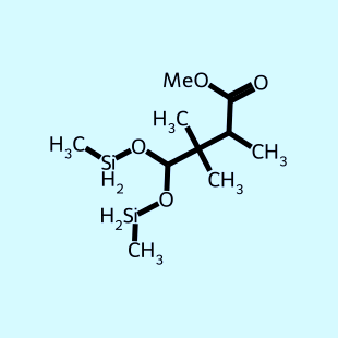 COC(=O)C(C)C(C)(C)C(O[SiH2]C)O[SiH2]C